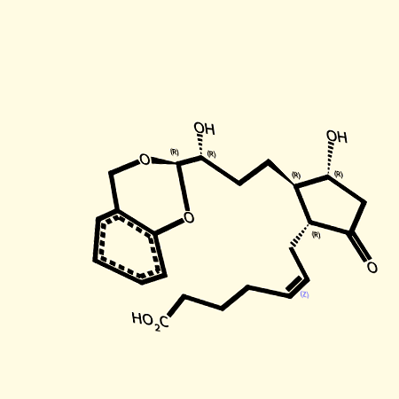 O=C(O)CCC/C=C\C[C@H]1C(=O)C[C@@H](O)[C@@H]1CC[C@@H](O)[C@@H]1OCc2ccccc2O1